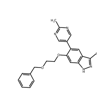 Cc1ncc(-c2cc3c(I)n[nH]c3cc2OCCOCc2ccccc2)cn1